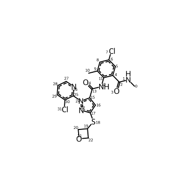 CNC(=O)c1cc(Cl)cc(C)c1NC(=O)c1cc(SC2COC2)nn1-c1ncccc1Cl